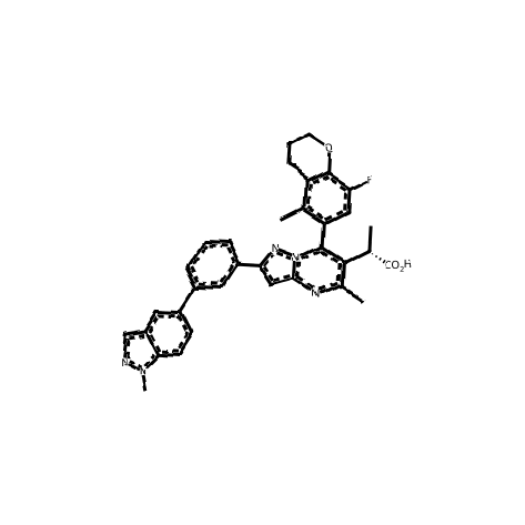 Cc1nc2cc(-c3cccc(-c4ccc5c(cnn5C)c4)c3)nn2c(-c2cc(F)c3c(c2C)CCCO3)c1[C@H](C)C(=O)O